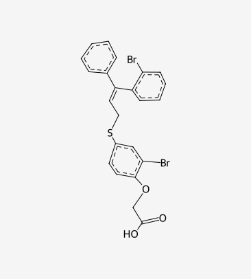 O=C(O)COc1ccc(SC/C=C(/c2ccccc2)c2ccccc2Br)cc1Br